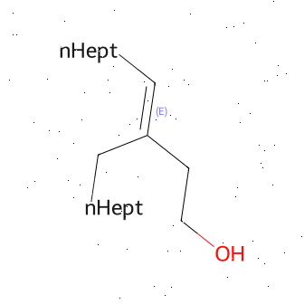 CCCCCCC/C=C(/CCO)CCCCCCCC